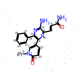 CC(C)n1cc(-c2nc(/C=C/C(N)=O)c(N)nc2-c2ccccc2)ccc1=O